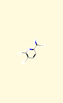 CCCC(=N)c1ccc([N+](=O)[O-])c(C)n1